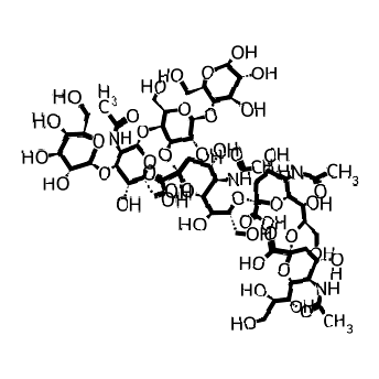 CC(=O)N[C@H]1[C@H](O[C@@H]2[C@H](O[C@]3(C(=O)O)C[C@H](O)[C@@H](NC(C)=O)[C@H]([C@H](O)[C@@H](CO)O[C@]4(C(=O)O)C[C@H](O)[C@@H](NC(C)=O)[C@H]([C@H](O)[C@@H](CO)O[C@]5(C(=O)O)C[C@H](O)[C@@H](NC(C)=O)[C@H]([C@H](O)[C@H](O)CO)O5)O4)O3)[C@@H](O)[C@H](O[C@H]3[C@H](O)[C@@H](O)[C@H](O)O[C@@H]3CO)O[C@@H]2CO)O[C@H](CO)[C@H](O)[C@@H]1O[C@@H]1O[C@H](CO)[C@H](O)[C@H](O)[C@H]1O